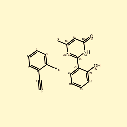 C#Cc1ccccc1F.Cc1cc(=O)[nH]c(-c2ccccc2O)n1